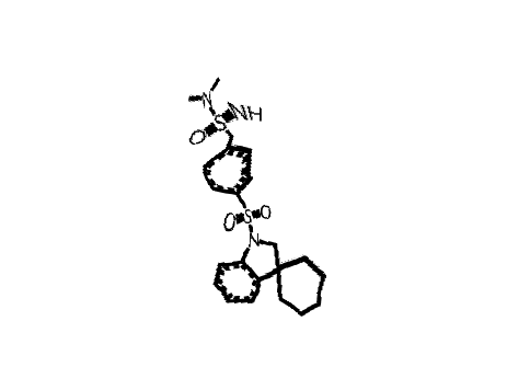 CN(C)S(=N)(=O)c1ccc(S(=O)(=O)N2CC3(CCCCC3)c3ccccc32)cc1